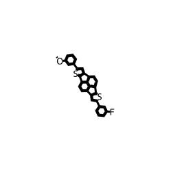 COc1cccc(-c2cc3c(s2)-c2ccc4c5c(ccc-3c25)-c2sc(-c3cccc(F)c3)cc2-4)c1